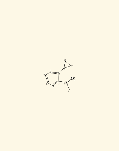 C[S+]([O-])c1ccccc1C1CC1